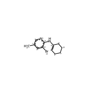 Cc1cnc(NC2=CCCCC2)c(Br)c1